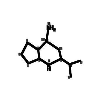 CC(C)C1BC2CCCC2N(N)C1